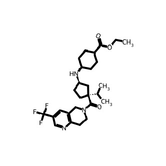 CCOC(=O)C1CCC(N[C@@H]2CC[C@@](C(=O)N3CCc4ncc(C(F)(F)F)cc4C3)(C(C)C)C2)CC1